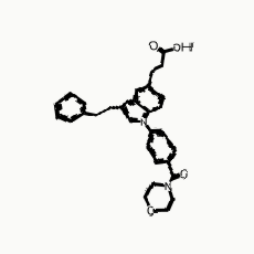 O=C(O)CCc1ccc2c(c1)c(CCc1ccccc1)cn2-c1ccc(C(=O)N2CCOCC2)cc1